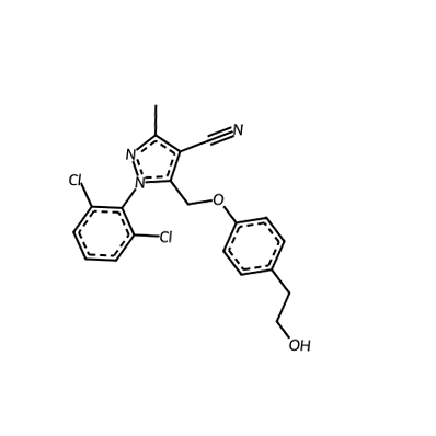 Cc1nn(-c2c(Cl)cccc2Cl)c(COc2ccc(CCO)cc2)c1C#N